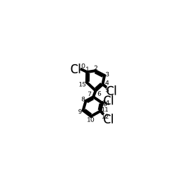 Clc1ccc(Cl)c(-c2cccc(Cl)c2Cl)c1